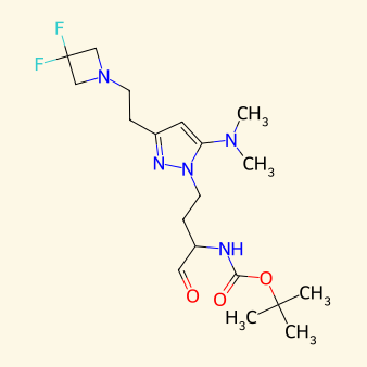 CN(C)c1cc(CCN2CC(F)(F)C2)nn1CCC(C=O)NC(=O)OC(C)(C)C